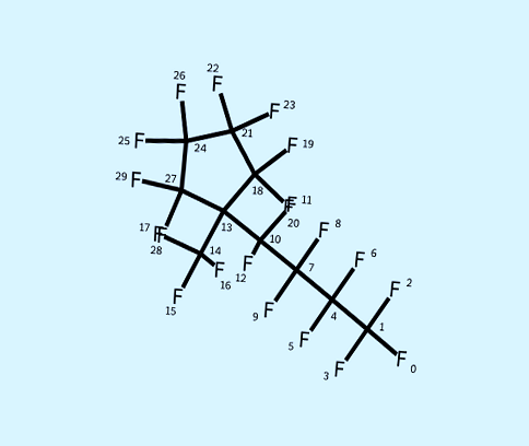 FC(F)(F)C(F)(F)C(F)(F)C(F)(F)C1(C(F)(F)F)C(F)(F)C(F)(F)C(F)(F)C1(F)F